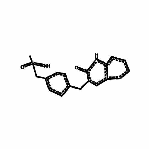 CS(=N)(=O)Cc1ccc(Cc2cc3ccccc3[nH]c2=O)cc1